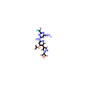 CC(C)Oc1cc(Nc2cc(N)nc([C@H](C)F)n2)ncc1-c1cnn(C2COC2)c1